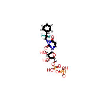 O=c1ccn([C@@H]2O[C@H](COP(=O)(O)O[PH](=O)O)C(O)[C@@H]2O)c(=O)n1CC(F)(F)c1ccccc1